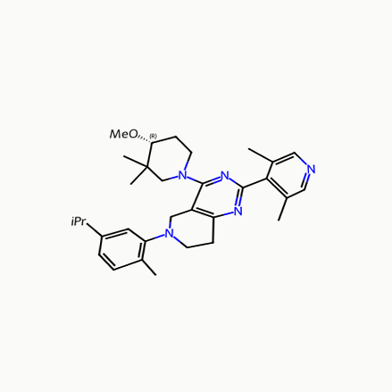 CO[C@@H]1CCN(c2nc(-c3c(C)cncc3C)nc3c2CN(c2cc(C(C)C)ccc2C)CC3)CC1(C)C